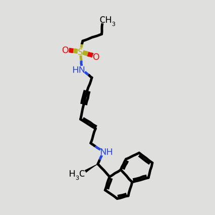 CCCS(=O)(=O)NCC#C/C=C/CN[C@H](C)c1cccc2ccccc12